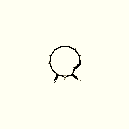 O=C1/C=C/CCCCCCCCC(=O)O1